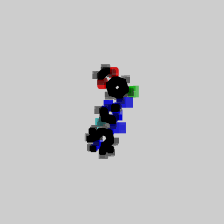 CN1C(C)(C)CC(Nc2nc(Nc3cc4c(cc3Cl)OCCO4)ncc2F)CC1(C)C